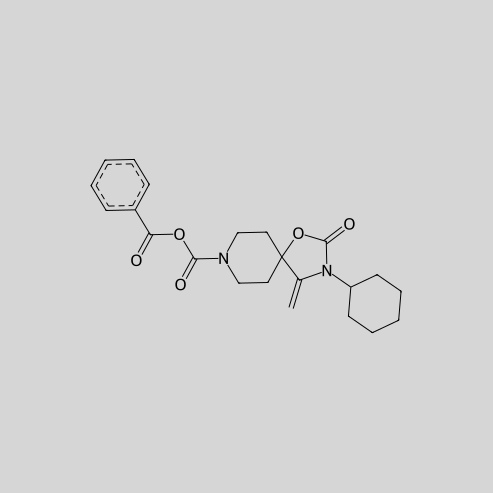 C=C1N(C2CCCCC2)C(=O)OC12CCN(C(=O)OC(=O)c1ccccc1)CC2